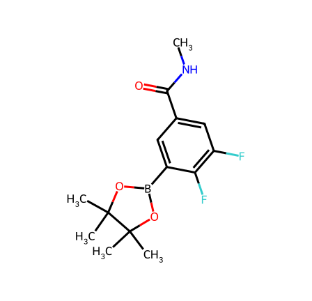 CNC(=O)c1cc(F)c(F)c(B2OC(C)(C)C(C)(C)O2)c1